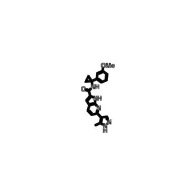 COc1cccc(C2(NC(=O)c3cc4ccc(-c5cn[nH]c5C)nc4[nH]3)CC2)c1